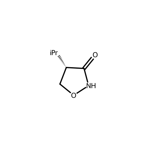 CC(C)[C@H]1CONC1=O